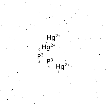 [Hg+2].[Hg+2].[Hg+2].[P-3].[P-3]